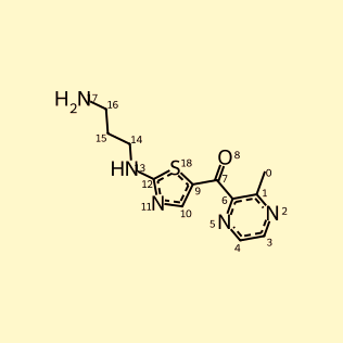 Cc1nccnc1C(=O)c1cnc(NCCCN)s1